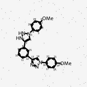 COc1ccc(N2C=C(c3cccc(-c4cn(-c5ccc(OC)cc5)nn4)c3)NN2)cc1